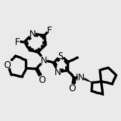 Cc1sc(N(C(=O)C2CCOCC2)c2cc(F)nc(F)c2)nc1C(=O)N[C@@H]1CCC12CCCC2